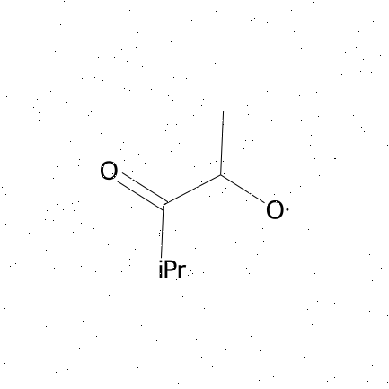 CC(C)C(=O)C(C)[O]